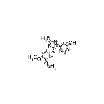 COc1ccc(Cc2nc(N)nn2-c2cc(O)ncn2)cc1OC